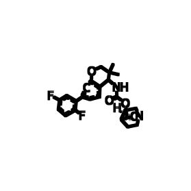 CC1(C)COc2cc(-c3cc(F)ccc3F)ccc2C1NC(=O)O[C@H]1CN2CCC1CC2